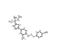 CCCc1ccc(CCOc2ccc(-c3nnc(C(C)(N)CO)s3)cc2C(F)(F)F)cc1